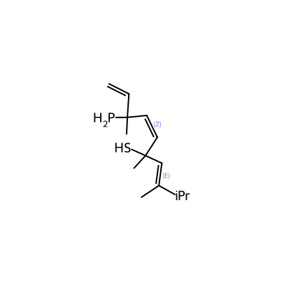 C=CC(C)(P)/C=C\C(C)(S)/C=C(\C)C(C)C